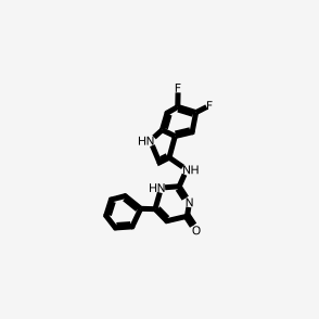 O=c1cc(-c2ccccc2)[nH]c(Nc2c[nH]c3cc(F)c(F)cc23)n1